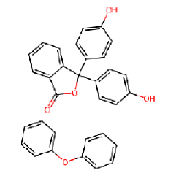 O=C1OC(c2ccc(O)cc2)(c2ccc(O)cc2)c2ccccc21.c1ccc(Oc2ccccc2)cc1